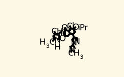 Cc1cc(C)c(CN2CCc3c(-c4cnn(C5CN(C)C5)c4)cc(OC(C)C)c(Cl)c3C2=O)c(=O)[nH]1